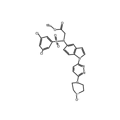 CC(C)(C)OC(=O)CN(c1ccc2c(ccn2-c2ccc(N3CC[S+]([O-])CC3)nn2)c1)S(=O)(=O)c1cc(Cl)cc(Cl)c1